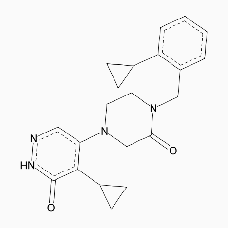 O=C1CN(c2cn[nH]c(=O)c2C2CC2)CCN1Cc1ccccc1C1CC1